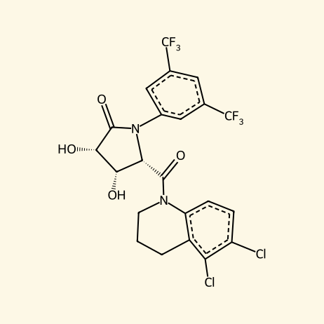 O=C([C@@H]1[C@H](O)[C@H](O)C(=O)N1c1cc(C(F)(F)F)cc(C(F)(F)F)c1)N1CCCc2c1ccc(Cl)c2Cl